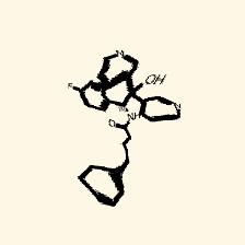 O=C(CCCc1ccccc1)N[C@H](c1ccc(F)cc1)C(O)(c1cccnc1)c1cccnc1